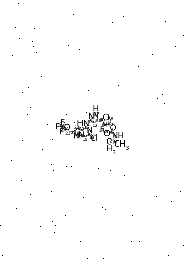 CC(C)NC(=O)O[C@@H]1CO[C@H](c2cc(Nc3nc(Cl)cn4nc(COC(F)(F)F)cc34)n[nH]2)[C@@H]1F